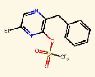 CCc1cnc(Cc2ccccc2)c(OS(=O)(=O)C(F)(F)F)n1